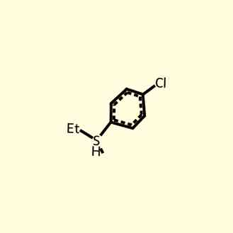 CC[SH](C)c1ccc(Cl)cc1